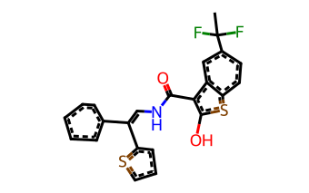 CC(F)(F)c1ccc2sc(O)c(C(=O)N/C=C(/c3ccccc3)c3cccs3)c2c1